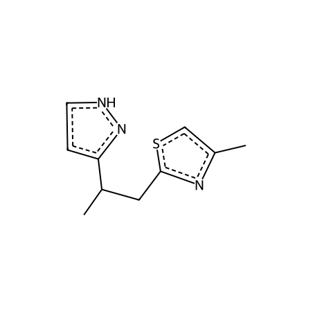 Cc1csc(CC(C)c2cc[nH]n2)n1